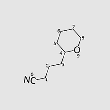 N#CCCCC1CCCCO1